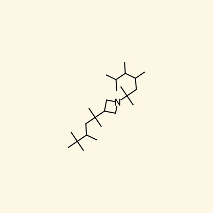 CC(C)C(C)C(C)CC(C)(C)N1CC(C(C)(C)CC(C)C(C)(C)C)C1